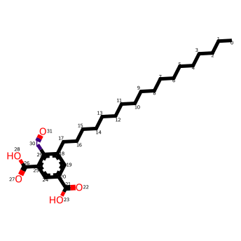 CCCCCCCCCCCCCCCCCCc1cc(C(=O)O)cc(C(=O)O)c1I=O